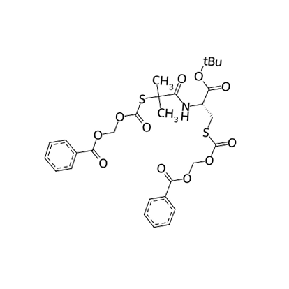 CC(C)(C)OC(=O)[C@H](CSC(=O)OCOC(=O)c1ccccc1)NC(=O)C(C)(C)SC(=O)OCOC(=O)c1ccccc1